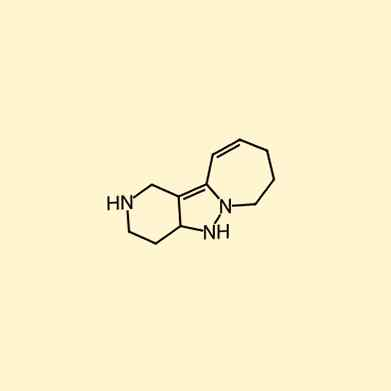 C1=CC2=C3CNCCC3NN2CCC1